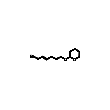 BrC/C=C/CCCOC1CCCCO1